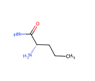 CCC[C@H](N)C([NH])=O